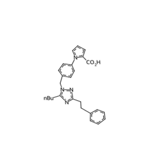 CCCCc1nc(CCc2ccccc2)nn1Cc1ccc(-n2cccc2C(=O)O)cc1